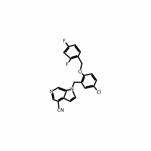 N#Cc1cncc2c1ccn2Cc1cc(Cl)ccc1OCc1ccc(F)cc1F